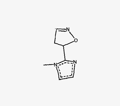 Cn1ccnc1C1C[C]=NO1